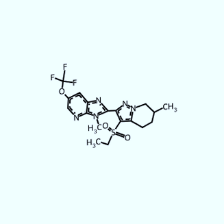 CCS(=O)(=O)c1c(-c2nc3cc(OC(F)(F)F)cnc3n2C)nn2c1CCC(C)C2